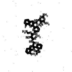 C=N/C(N[C@@H](C)c1cc2cccc(F)c2nc1-c1ccccc1S(C)(=O)=O)=C(C#N)\C(=N/CN)Nc1cccc(-c2nc3c(F)cccc3cc2[C@H](C)Nc2nc(N)nc(N)c2C#N)n1